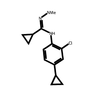 CN/N=C(\Nc1ccc(C2CC2)cc1Cl)C1CC1